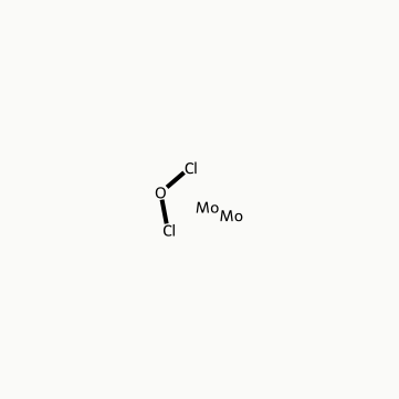 ClOCl.[Mo].[Mo]